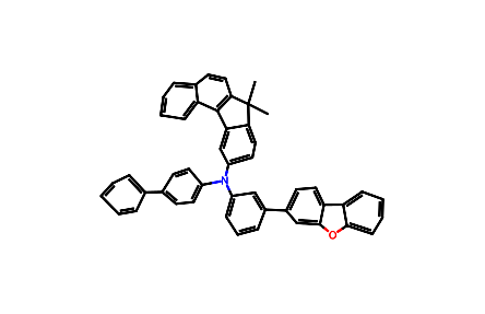 CC1(C)c2ccc(N(c3ccc(-c4ccccc4)cc3)c3cccc(-c4ccc5c(c4)oc4ccccc45)c3)cc2-c2c1ccc1ccccc21